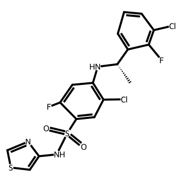 C[C@H](Nc1cc(F)c(S(=O)(=O)Nc2cscn2)cc1Cl)c1cccc(Cl)c1F